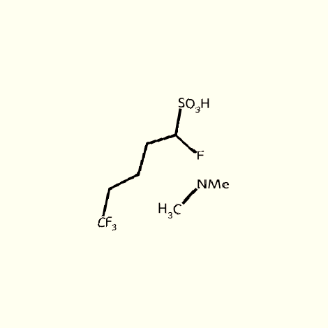 CNC.O=S(=O)(O)C(F)CCCC(F)(F)F